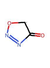 O=C1[CH]ON=N1